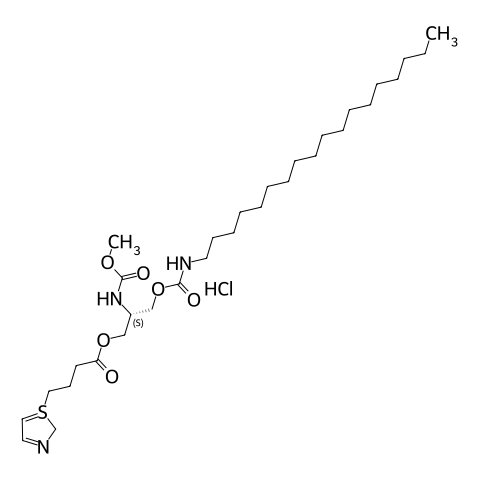 CCCCCCCCCCCCCCCCCCNC(=O)OC[C@H](COC(=O)CCCS1=CC=NC1)NC(=O)OC.Cl